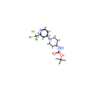 CC(C)(C)OC(=O)NC1CCN(c2ccnc(C(F)(F)F)c2)CC1